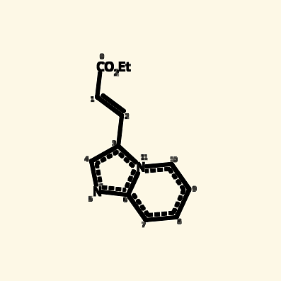 CCOC(=O)C=Cc1cnc2ccccn12